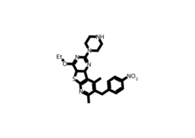 CCOC1=NC(N2CCNCC2)=NC2c3c(nc(C)c(Cc4ccc([N+](=O)[O-])cc4)c3C)SC12